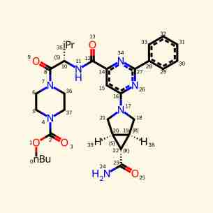 CCCCOC(=O)N1CCN(C(=O)[C@@H](NC(=O)c2cc(N3C[C@@H]4[C@H](C3)[C@H]4C(N)=O)nc(-c3ccccc3)n2)C(C)C)CC1